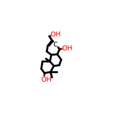 CC1(C)C(O)CCC2(C)C3CC=C(CO)CC(O)C3CCC12